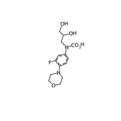 O=C(O)N(CC(O)CO)c1ccc(N2CCOCC2)c(F)c1